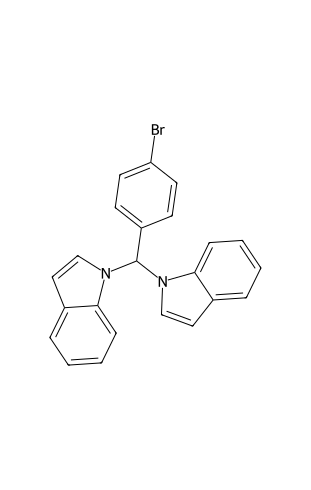 Brc1ccc(C(n2ccc3ccccc32)n2ccc3ccccc32)cc1